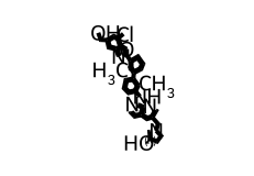 Cc1c(Nc2nccc3cc(CN4CC[C@@H](O)C4)cnc23)cccc1-c1cccc(-c2nc3cc(CO)cc(Cl)c3o2)c1C